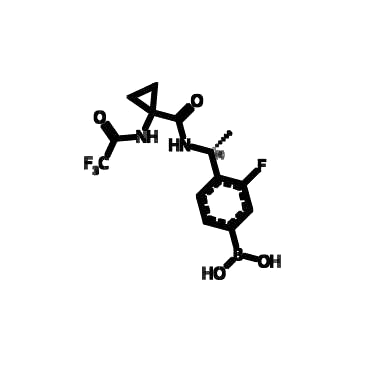 C[C@@H](NC(=O)C1(NC(=O)C(F)(F)F)CC1)c1ccc(B(O)O)cc1F